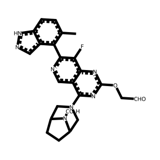 Cc1ccc2[nH]ncc2c1-c1ncc2c(N3CC4CCC(C3)N4C(=O)O)nc(OCC=O)nc2c1F